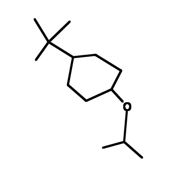 CC(C)OC1CCC(C(C)(C)C)CC1